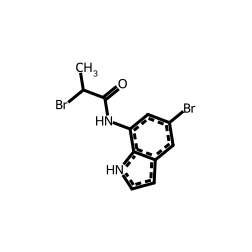 CC(Br)C(=O)Nc1cc(Br)cc2cc[nH]c12